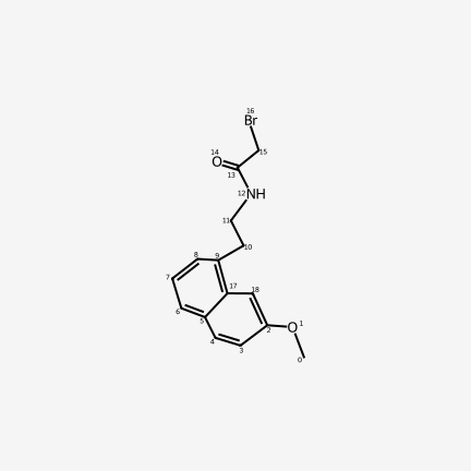 COc1ccc2cccc(CCNC(=O)CBr)c2c1